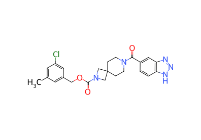 Cc1cc(Cl)cc(COC(=O)N2CC3(CCN(C(=O)c4ccc5[nH]nnc5c4)CC3)C2)c1